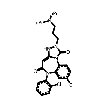 CCCN(CCC)CCCN1NC2=CC(=O)N(c3ccccc3Cl)c3cc(Cl)ccc3N2C1=O